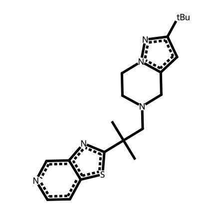 CC(C)(C)c1cc2n(n1)CCN(CC(C)(C)c1nc3cnccc3s1)C2